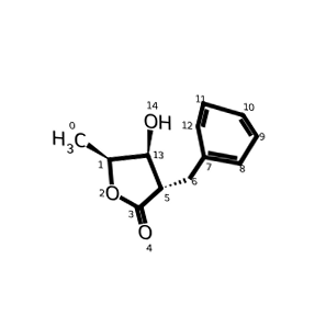 C[C@@H]1OC(=O)[C@@H](Cc2ccccc2)[C@@H]1O